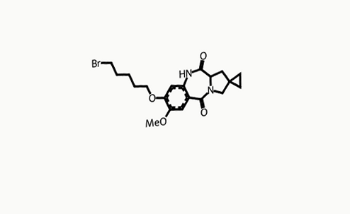 COc1cc2c(cc1OCCCCCBr)NC(=O)C1CC3(CC3)CN1C2=O